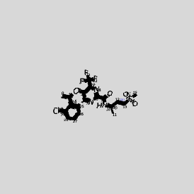 CC(Oc1cnc(C(=O)N[C@H](C)/C=C/S(C)(=O)=O)nc1C(F)(F)F)c1ccccc1Cl